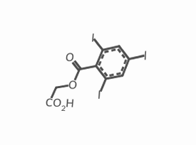 O=C(O)COC(=O)c1c(I)cc(I)cc1I